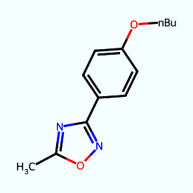 CCCCOc1ccc(-c2noc(C)n2)cc1